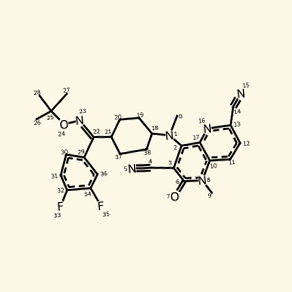 CN(c1c(C#N)c(=O)n(C)c2ccc(C#N)nc12)C1CCC(/C(=N/OC(C)(C)C)c2ccc(F)c(F)c2)CC1